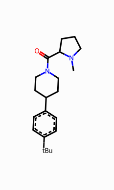 CN1CCCC1C(=O)N1CCC(c2ccc(C(C)(C)C)cc2)CC1